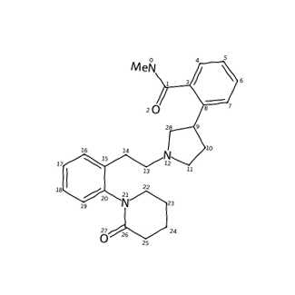 CNC(=O)c1ccccc1C1CCN(CCc2ccccc2N2CCCCC2=O)C1